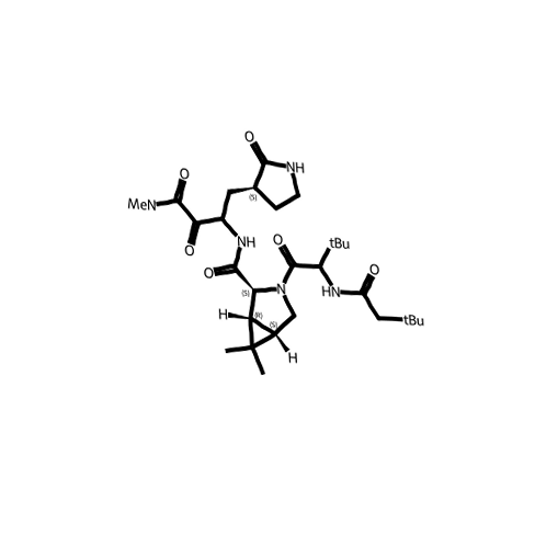 CNC(=O)C(=O)C(C[C@@H]1CCNC1=O)NC(=O)[C@@H]1[C@@H]2[C@H](CN1C(=O)C(NC(=O)CC(C)(C)C)C(C)(C)C)C2(C)C